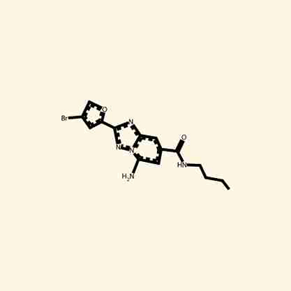 CCCCNC(=O)c1cc(N)n2nc(-c3cc(Br)co3)nc2c1